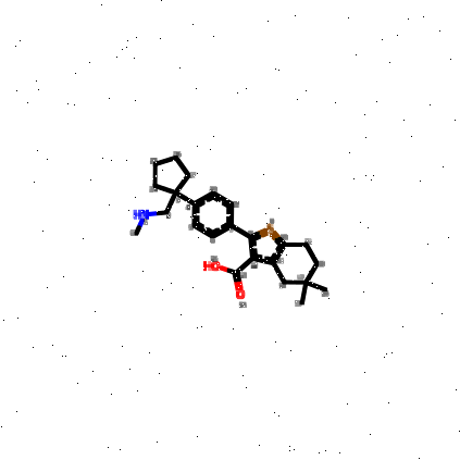 CNCC1(c2ccc(-c3sc4c(c3C(=O)O)CC(C)(C)CC4)cc2)CCCC1